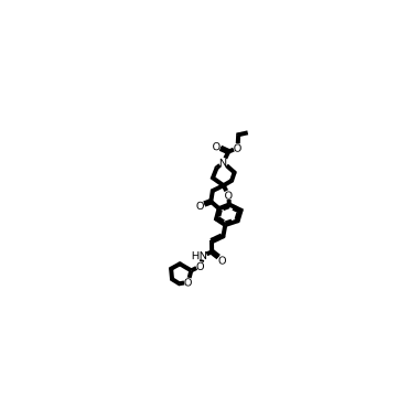 CCOC(=O)N1CCC2(CC1)CC(=O)c1cc(C=CC(=O)NOC3CCCCO3)ccc1O2